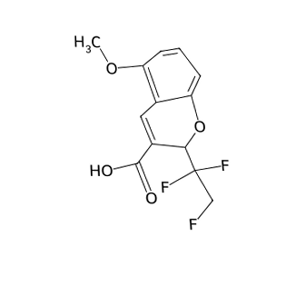 COc1cccc2c1C=C(C(=O)O)C(C(F)(F)CF)O2